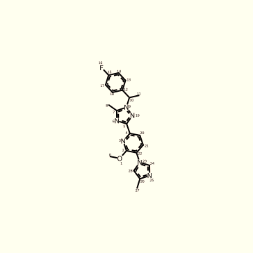 COc1nc(-c2nc(C)n(C(C)c3ccc(F)cc3)n2)ccc1-n1cnc(C)c1